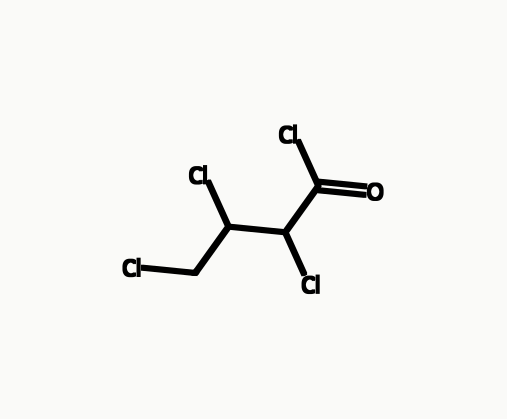 O=C(Cl)C(Cl)C(Cl)CCl